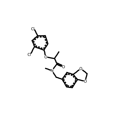 CC(Oc1ccc(Cl)cc1Cl)C(=O)N(C)Cc1ccc2c(c1)OCO2